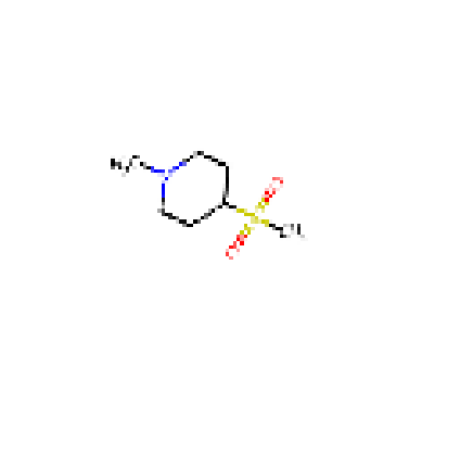 CN1CCC(S(C)(=O)=O)CC1